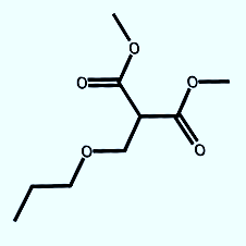 CCCOCC(C(=O)OC)C(=O)OC